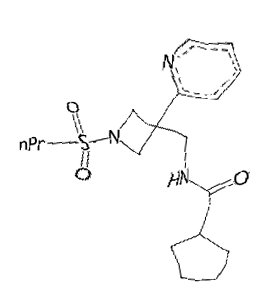 CCCS(=O)(=O)N1CC(CNC(=O)C2CCCC2)(c2ccccn2)C1